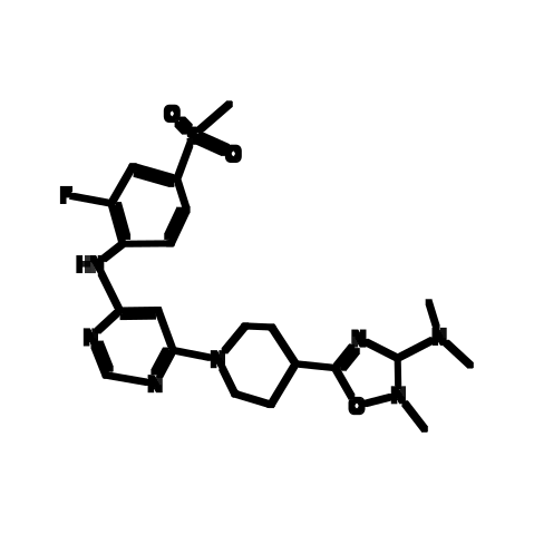 CN(C)C1N=C(C2CCN(c3cc(Nc4ccc(S(C)(=O)=O)cc4F)ncn3)CC2)ON1C